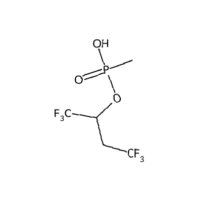 CP(=O)(O)OC(CC(F)(F)F)C(F)(F)F